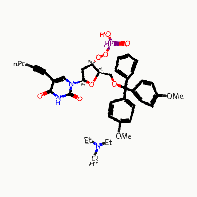 CCCC#Cc1cn([C@H]2C[C@H](OO[PH](=O)O)[C@@H](COC(c3ccccc3)(c3ccc(OC)cc3)c3ccc(OC)cc3)O2)c(=O)[nH]c1=O.CCN(CC)CC.[H+]